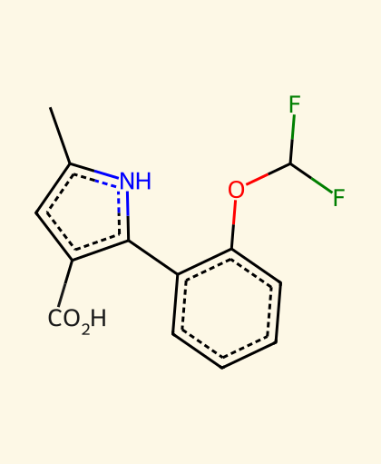 Cc1cc(C(=O)O)c(-c2ccccc2OC(F)F)[nH]1